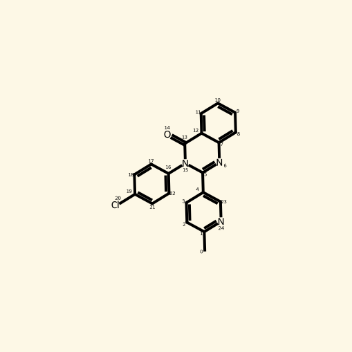 Cc1ccc(-c2nc3ccccc3c(=O)n2-c2ccc(Cl)cc2)cn1